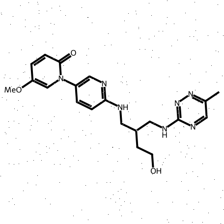 COc1ccc(=O)n(-c2ccc(NCC(CCO)CNc3ncc(C)nn3)nc2)c1